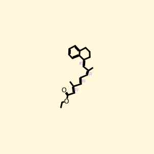 CCOC(=O)/C=C(C)/C=C/C=C(C)\C=C1/CCCc2ccccc21